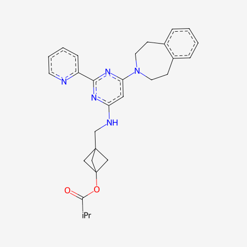 CC(C)C(=O)OC12CC(CNc3cc(N4CCc5ccccc5CC4)nc(-c4ccccn4)n3)(C1)C2